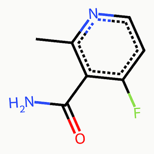 Cc1nccc(F)c1C(N)=O